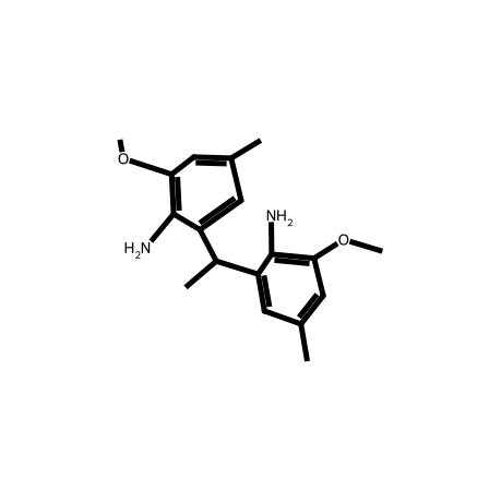 COc1cc(C)cc(C(C)c2cc(C)cc(OC)c2N)c1N